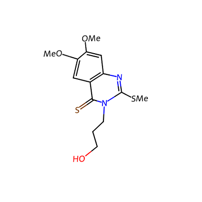 COc1cc2nc(SC)n(CCCO)c(=S)c2cc1OC